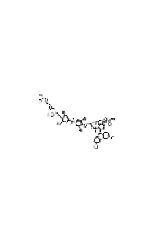 C=CC(=O)OCCOCC(O)COc1c(Br)cc(C(C)(C)c2cc(Br)c(OCC(COCCOC(=O)C=C)OC(=O)CC(c3ccc(Cl)cc3)(c3ccc(Cl)cc3)c3ccc(Cl)cc3)c(Br)c2)cc1Br